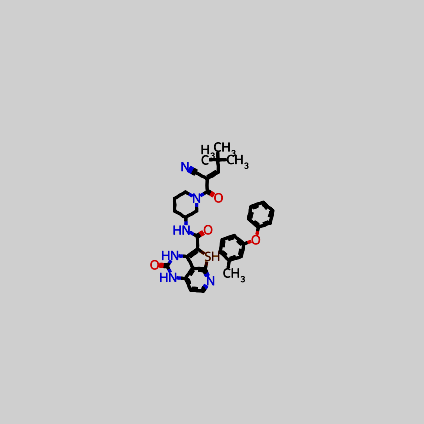 Cc1cc(Oc2ccccc2)ccc1[SH]1C(C(=O)NC2CCCN(C(=O)/C(C#N)=C/C(C)(C)C)C2)=C2NC(=O)Nc3ccnc1c32